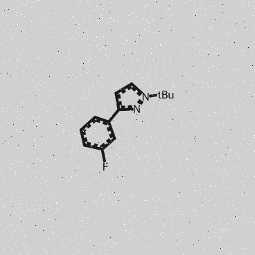 CC(C)(C)n1ccc(-c2cccc(F)c2)n1